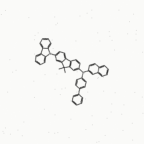 CC1(C)c2cc(N(c3ccc(-c4ccccc4)cc3)c3ccc4ccccc4c3)ccc2-c2ccc(-n3c4ccccc4c4ccccc43)cc21